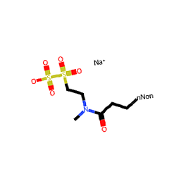 CCCCCCCCCCCC(=O)N(C)CCS(=O)(=O)S(=O)(=O)[O-].[Na+]